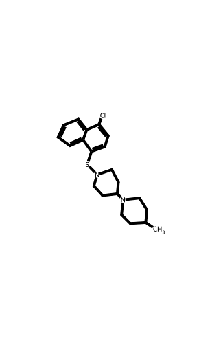 CC1CCN(C2CCN(Sc3ccc(Cl)c4ccccc34)CC2)CC1